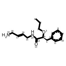 CCCO[C@@H](Cc1ccccc1)C(=O)NC/C=C/CN